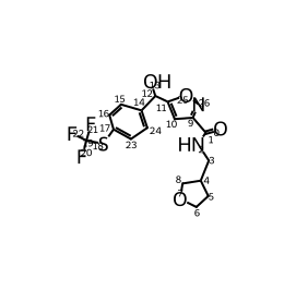 O=C(NCC1CCOC1)c1cc(C(O)c2ccc(SC(F)(F)F)cc2)on1